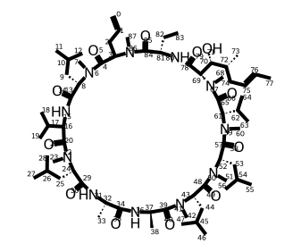 C=CCC1C(=O)N(C)[C@@H](CC(C)C)C(=O)NC(C(C)C)C(=O)N(C)[C@@H](CC(C)C)C(=O)N[C@@H](C)C(=O)N[C@H](C)C(=O)N(C)[C@@H](CC(C)C)C(=O)N(C)[C@@H](CC(C)C)C(=O)N(C)[C@@H](C(C)C)C(=O)N(C)[C@@H]([C@H](O)[C@H](C)C/C=C/C)C(=O)N[C@@H](CC)C(=O)N1C